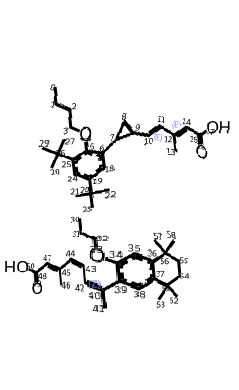 CCCCOc1c(C2CC2/C=C/C(C)=C/C(=O)O)cc(C(C)(C)C)cc1C(C)(C)C.CCCOc1cc2c(cc1/C(C)=C\C=CC(C)=CC(=O)O)C(C)(C)CCC2(C)C